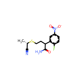 C[C@@H](C#N)SCC[C](C(N)=O)c1cc([N+](=O)[O-])ccc1F